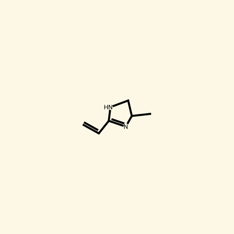 C=CC1=NC(C)CN1